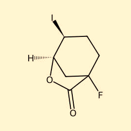 O=C1O[C@@H]2CC1(F)CC[C@@H]2I